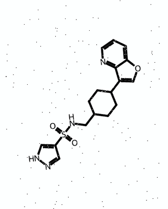 O=S(=O)(NCC1CCC(c2coc3cccnc23)CC1)c1cn[nH]c1